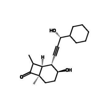 CC1C(=O)[C@]2(C)CC[C@H](O)[C@@H](C#C[C@H](O)C3CCCCC3)[C@H]12